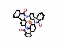 O=c1c2ccccc2c2ccc3c4c2n1-c1ccc2c5ccccc5c(=O)n5c2c1P4(=O)c1c-5ccc2c4ccccc4c(=O)n-3c12